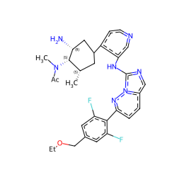 CCOCc1cc(F)c(-c2ccc3cnc(Nc4cnccc4C4C[C@@H](N)[C@@H](N(C)C(C)=O)[C@@H](C)C4)n3n2)c(F)c1